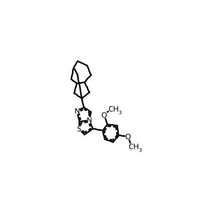 COc1ccc(-c2csc3nc(C45CC6CCCC(C4)C(C6)C5)cn23)c(OC)c1